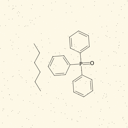 CCCCCC.O=P(c1ccccc1)(c1ccccc1)c1ccccc1